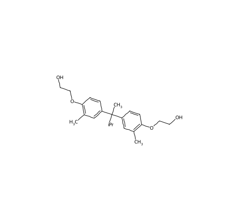 Cc1cc(C(C)(c2ccc(OCCO)c(C)c2)C(C)C)ccc1OCCO